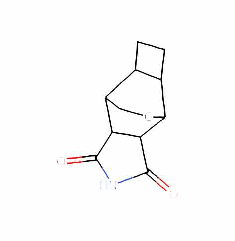 O=C1NC(=O)C2C3CCC(C4CCC43)C12